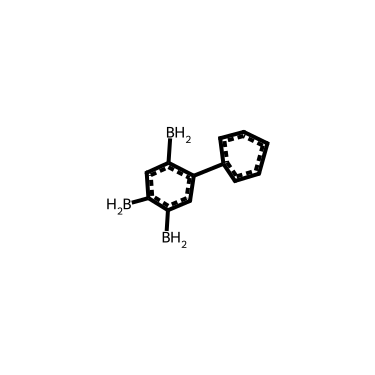 Bc1cc(B)c(-c2ccccc2)cc1B